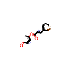 C[C@H](/C=C\C=O)OC(=O)/C=C/C1=CCCSC1